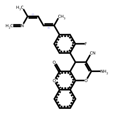 C=N/C(C)=C\C=C(/C)c1ccc(C2C(C#N)=C(N)Oc3c2c(=O)oc2ccccc32)c(F)c1